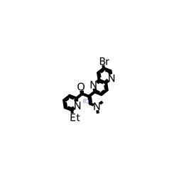 CCc1cccc(C(=O)/C(=C/N(C)C)c2ccc3ncc(Br)cc3n2)n1